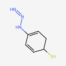 N=NNC1=CCC(S)C=C1